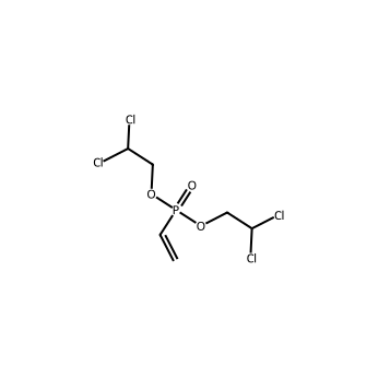 C=CP(=O)(OCC(Cl)Cl)OCC(Cl)Cl